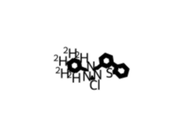 [2H]c1c([2H])c([2H])c(-c2nc(Cl)nc(-c3cccc4c3sc3ccccc34)n2)c([2H])c1[2H]